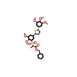 COc1cc([C@@H]2CC[C@@H](c3cc(OC)c(OC)c(S(=O)(=O)C(C)C(=O)OCc4ccccc4)c3)S2)cc(OC)c1OC